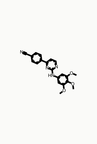 COc1cc(Nc2nccc(-c3ccc(C#N)cc3)n2)cc(OC)c1OC